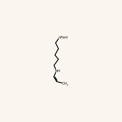 C/C=C\NCCCCCCCCCC